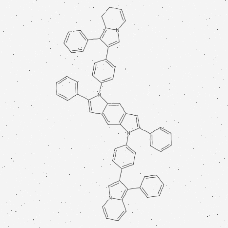 C1=Cn2cc(-c3ccc(-n4c(-c5ccccc5)cc5cc6c(cc(-c7ccccc7)n6-c6ccc(-c7cn8ccccc8c7-c7ccccc7)cc6)cc54)cc3)c(-c3ccccc3)c2CC1